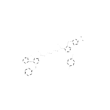 Cc1ccc(Cn2nc(C(O)CCCCCC(O)c3nn(Cc4ccc(C)cc4)c4c3Cc3sc(S(=O)(=O)O)cc3-4)c3c2-c2ccsc2C3)cc1